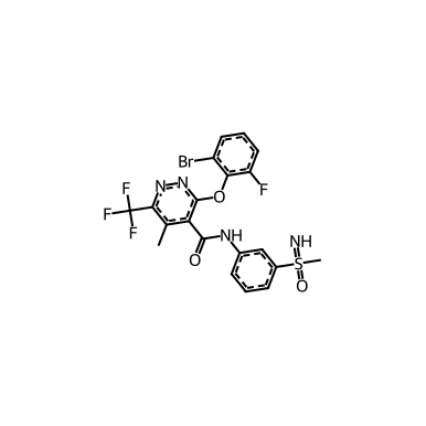 Cc1c(C(F)(F)F)nnc(Oc2c(F)cccc2Br)c1C(=O)Nc1cccc(S(C)(=N)=O)c1